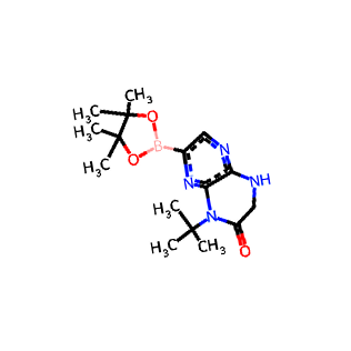 CC(C)(C)N1C(=O)CNc2ncc(B3OC(C)(C)C(C)(C)O3)nc21